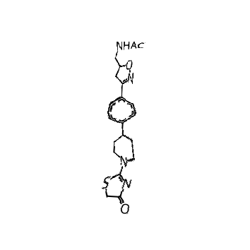 CC(=O)NCC1CC(c2ccc(C3CCN(C4=NC(=O)CS4)CC3)cc2)=NO1